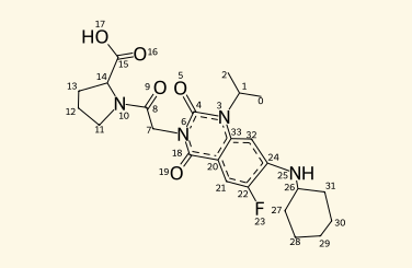 CC(C)n1c(=O)n(CC(=O)N2CCCC2C(=O)O)c(=O)c2cc(F)c(NC3CCCCC3)cc21